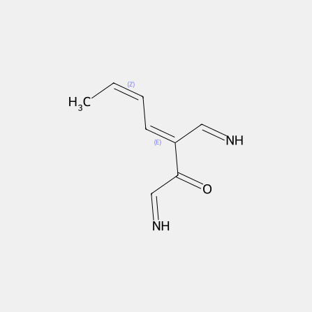 C/C=C\C=C(/C=N)C(=O)C=N